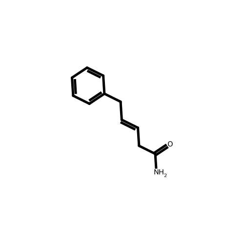 NC(=O)CC=CCc1ccccc1